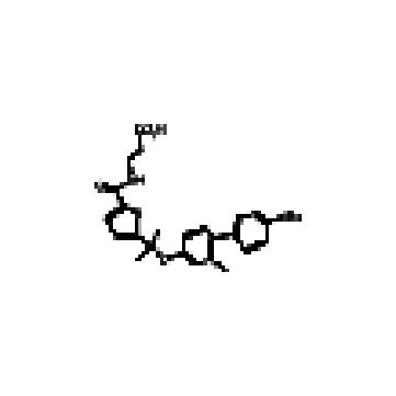 Cc1cc(OC(C)(C)c2ccc(C(=O)NCCC(=O)O)s2)ccc1-c1ccc(C(C)(C)C)cc1